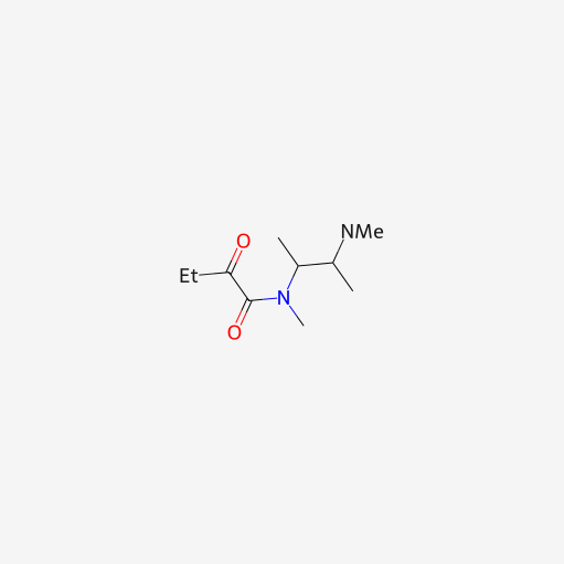 CCC(=O)C(=O)N(C)C(C)C(C)NC